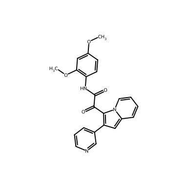 COc1ccc(NC(=O)C(=O)c2c(-c3cccnc3)cc3ccccn23)c(OC)c1